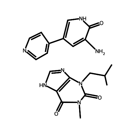 CC(C)Cn1c(=O)n(C)c(=O)c2[nH]cnc21.Nc1cc(-c2ccncc2)c[nH]c1=O